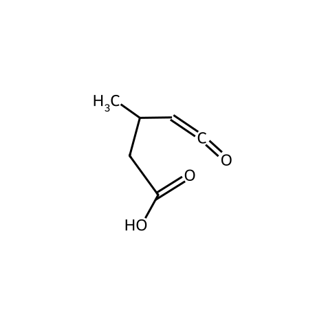 CC(C=C=O)CC(=O)O